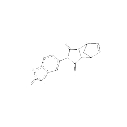 O=C1C2C3C=CC(C3)C2C(=O)N1c1ccc2[nH]c(=O)sc2c1